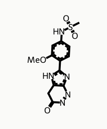 COc1cc(NS(C)(=O)=O)ccc1-c1nc2c([nH]1)CC(=O)N=N2